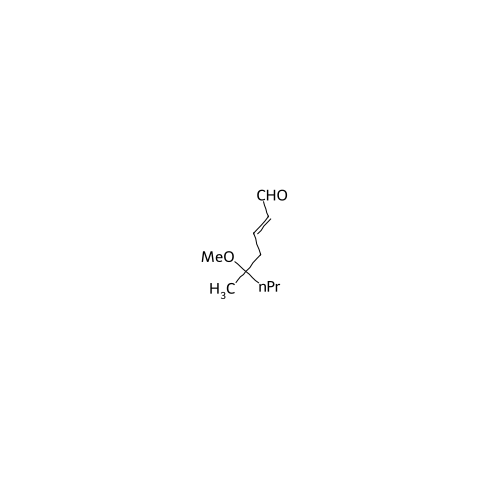 CCCC(C)(C/C=C/C=O)OC